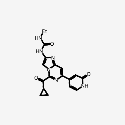 CCNC(=O)Nc1cn2c(C(=O)C3CC3)nc(-c3cc[nH]c(=O)c3)cc2n1